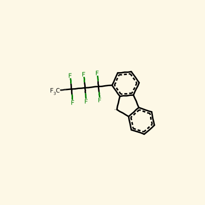 FC(F)(F)C(F)(F)C(F)(F)C(F)(F)c1cccc2c1[CH]c1ccccc1-2